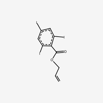 C=CCOC(=O)c1c(I)cc(I)cc1I